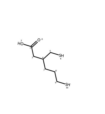 O=C(O)CC(CS)CCCS